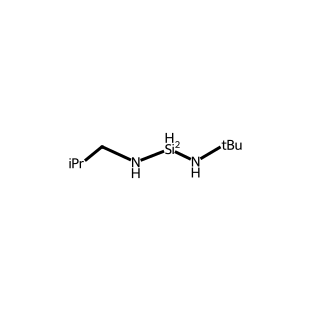 CC(C)CN[SiH2]NC(C)(C)C